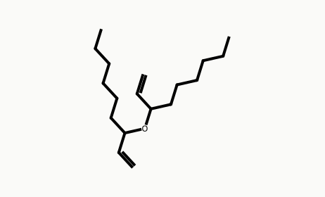 C=CC(CCCCCC)OC(C=C)CCCCCC